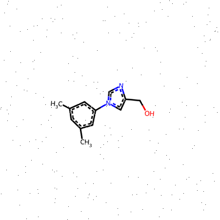 Cc1cc(C)cc(-n2cnc(CO)c2)c1